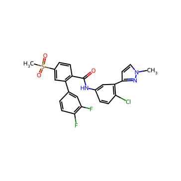 Cn1ccc(-c2cc(NC(=O)c3ccc(S(C)(=O)=O)cc3-c3ccc(F)c(F)c3)ccc2Cl)n1